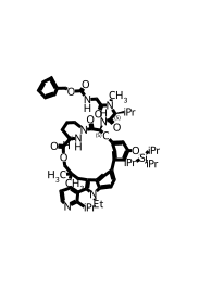 CCn1c(-c2cccnc2C(C)C)c2c3cc(ccc31)-c1cc(cc(O[Si](C(C)C)(C(C)C)C(C)C)c1)C[C@H](NC(=O)[C@H](C(C)C)N(C)C(=O)CNC(=O)OCc1ccccc1)C(=O)N1CCC[C@H](N1)C(=O)OCC(C)(C)C2